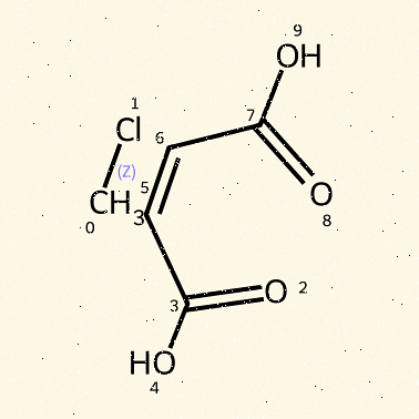 CCl.O=C(O)/C=C\C(=O)O